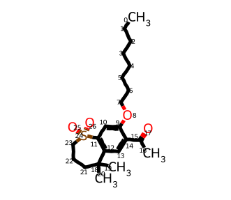 CCCCCCCCOc1cc2c(cc1C(C)=O)C(C)(C)CCCS2(=O)=O